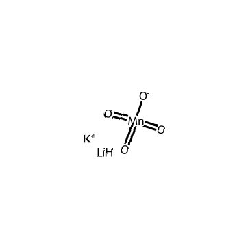 [K+].[LiH].[O]=[Mn](=[O])(=[O])[O-]